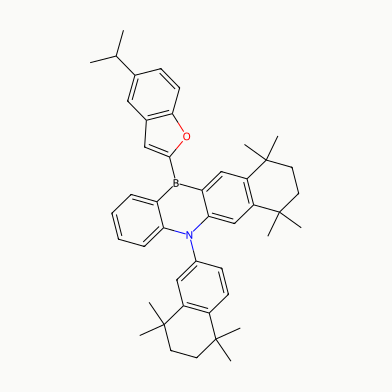 CC(C)c1ccc2oc(B3c4ccccc4N(c4ccc5c(c4)C(C)(C)CCC5(C)C)c4cc5c(cc43)C(C)(C)CCC5(C)C)cc2c1